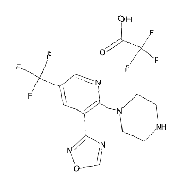 FC(F)(F)c1cnc(N2CCNCC2)c(-c2ncon2)c1.O=C(O)C(F)(F)F